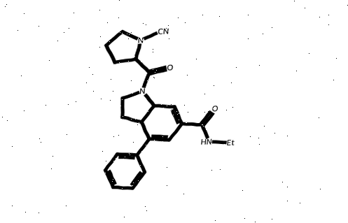 CCNC(=O)C1=CC2C(CCN2C(=O)C2CCCN2C#N)C(c2ccccc2)=C1